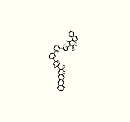 Cc1c(-c2ccc(-c3cccc(-c4cccc(-c5cnc(-c6cc7cc8cc9ccccc9cc8cc7oc6=O)cn5)n4)n3)o2)c(=O)oc2ccc3ccccc3c12